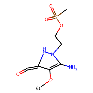 CCOC1=C(N)N(CCOS(C)(=O)=O)NC1=C=O